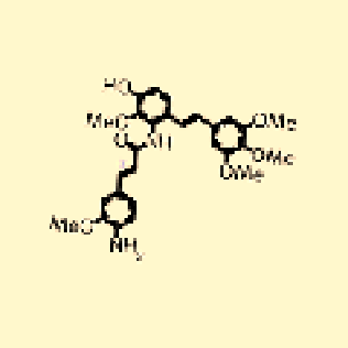 COc1cc(/C=C/C(=O)Nc2c(C=Cc3cc(OC)c(OC)c(OC)c3)ccc(O)c2OC)ccc1N